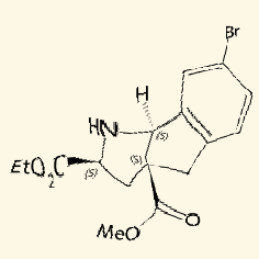 CCOC(=O)[C@@H]1C[C@@]2(C(=O)OC)Cc3ccc(Br)cc3[C@@H]2N1